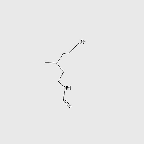 C=CNCCC(C)CCC(C)C